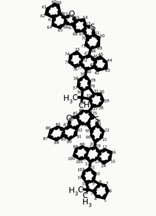 CC1(C)c2ccccc2-c2cc(-c3c4ccccc4c(-c4ccc5sc6c(-c7cccc8c7C(C)(C)c7ccc(-c9c%10ccccc%10c(-c%10ccc%11sc%12cc%13oc%14c%15ccccc%15ccc%14c%13cc%12c%11c%10)c%10ccccc9%10)cc7-8)cc7oc8c9ccccc9ccc8c7c6c5c4)c4ccccc34)ccc21